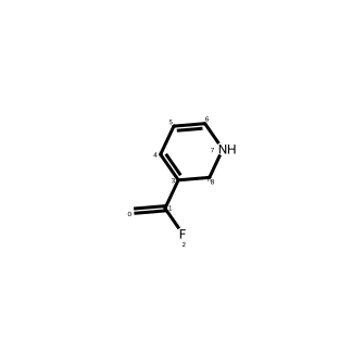 C=C(F)C1=CC=CN[C]1